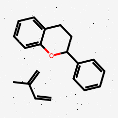 C=CC(=C)C.c1ccc(C2CCc3ccccc3O2)cc1